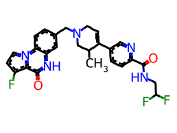 CC1CN(Cc2ccc3c(c2)[nH]c(=O)c2c(F)ccn23)CC=C1c1ccc(C(=O)NCC(F)F)nc1